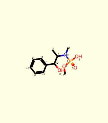 COP(=O)(O)N(C)C(C)C(O)c1ccccc1